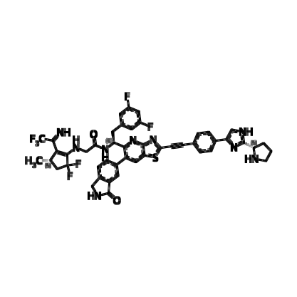 C[C@H]1CC(F)(F)C(NCC(=O)N[C@@H](Cc2cc(F)cc(F)c2)c2nc3nc(C#Cc4ccc(-c5c[nH]c([C@@H]6CCCN6)n5)cc4)sc3cc2-c2ccc3c(c2)C(=O)NC3)=C1C(=N)C(F)(F)F